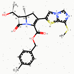 CCCSc1ncn2cc(C3=C(C(=O)OCc4ccc([N+](=O)[O-])cc4)N4C(=O)[C@H]([C@@H](C)O)[C@H]4C3)sc12